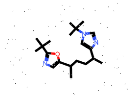 CC(CCC(C)c1cnc(C(C)(C)C)o1)c1cn(C(C)(C)C)cn1